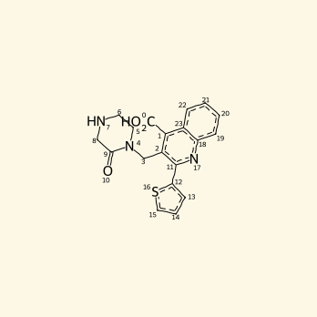 O=C(O)c1c(CN2CCNCC2=O)c(-c2cccs2)nc2ccccc12